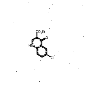 CCOC(=O)c1c[nH]c2ccc(Cl)cc2c1=O